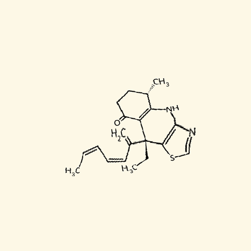 C=C(/C=C\C=C/C)[C@]1(CC)C2=C(Nc3ncsc31)[C@@H](C)CCC2=O